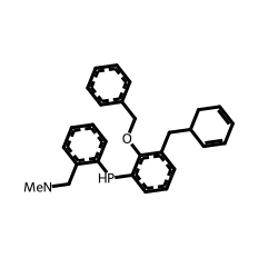 CNCc1ccccc1Pc1cccc(CC2C=CC=CC2)c1OCc1ccccc1